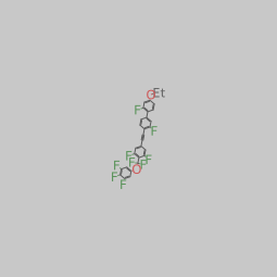 CCOc1ccc(-c2ccc(C#Cc3cc(F)c(C(F)(F)Oc4cc(F)c(F)c(F)c4)c(F)c3)c(F)c2)c(F)c1